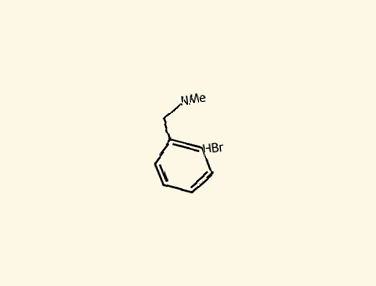 Br.CNCc1ccccc1